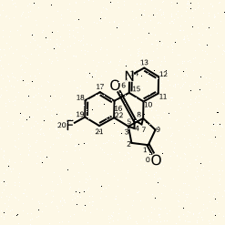 O=C1CC23CC(=O)CC2(C1)c1cccnc1-c1ccc(F)cc13